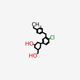 CCc1ccc(Cc2cc(C3CC(O)CC(CO)C3)ccc2Cl)cc1